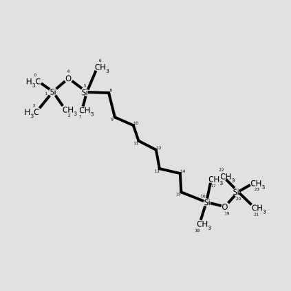 C[Si](C)(C)O[Si](C)(C)CCCCCCCC[Si](C)(C)O[Si](C)(C)C